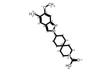 COc1cc2nn(C3CCC4(CC3)CCN(C(=O)O)CC4)cc2cc1N